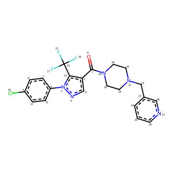 O=C(c1cnn(-c2ccc(Cl)cc2)c1C(F)(F)F)N1CCN(Cc2cccnc2)CC1